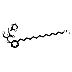 CCCCCCCCCCCCCCCc1cccc(OC(CC)C(=O)NC2=NCCS2)c1